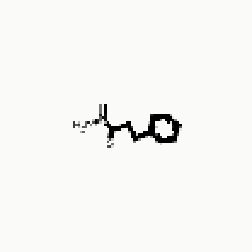 NNC(=S)CCc1ccccc1